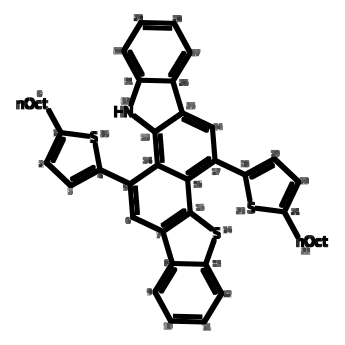 CCCCCCCCc1ccc(-c2cc3c4ccccc4sc3c3c(-c4ccc(CCCCCCCC)s4)cc4c5ccccc5[nH]c4c23)s1